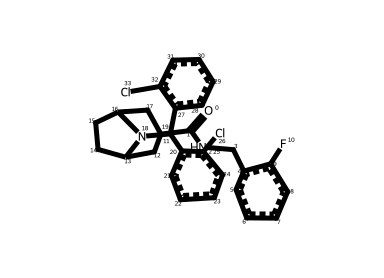 O=C(NCc1ccccc1F)C1CC2CCC(C1)N2C(c1ccccc1Cl)c1ccccc1Cl